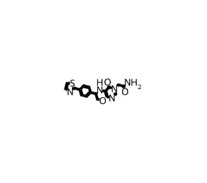 NC(=O)Cn1cnc2c(c1=O)NC(c1ccc(-c3nccs3)cc1)CO2